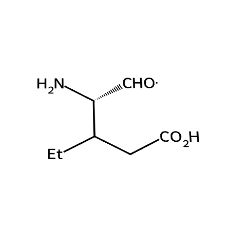 CCC(CC(=O)O)[C@H](N)[C]=O